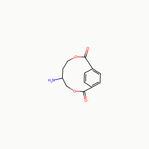 NC1CCOC(=O)c2ccc(cc2)C(=O)OC1